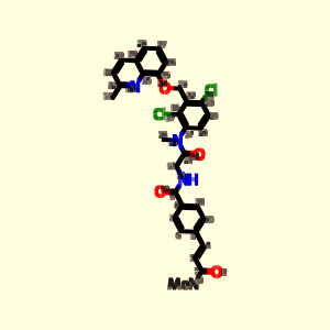 CNC(=O)/C=C/c1ccc(C(=O)NCC(=O)N(C)c2ccc(Cl)c(COc3cccc4ccc(C)nc34)c2Cl)cc1